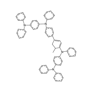 CC1CC(c2ccc(N(c3ccccc3)c3ccc(N(c4ccccc4)c4ccccc4)cc3)cc2)=CC=C1N(c1ccccc1)c1ccc(N(c2ccccc2)c2ccccc2)cc1